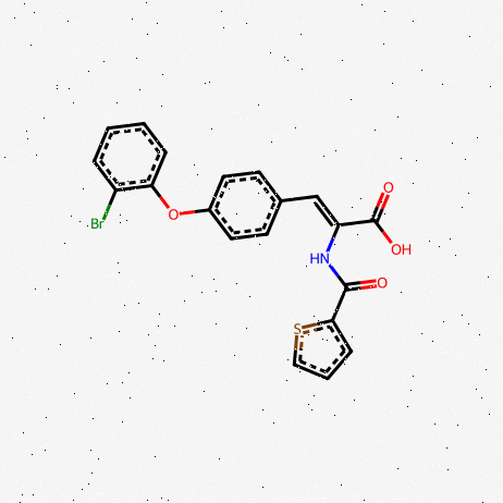 O=C(O)C(=Cc1ccc(Oc2ccccc2Br)cc1)NC(=O)c1cccs1